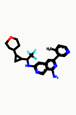 Cc1ccncc1-c1cc2cc(NC(C3CC3C3CCOCC3)C(F)(F)F)ncc2c(N)n1